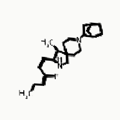 CC/C=C(F)\C=C/C1NCC2(CCN(C3CC4CCC3C4)CC2)C1C